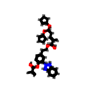 C=C(C)C(=O)Oc1ccc(CCOC(=O)C(C)=CCC(OC2=CCCC2)OC2=CCCC2)cc1-n1nc2ccccc2n1